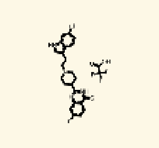 O=C(O)C(F)(F)F.O=c1[nH]c(C2CCN(CCc3c[nH]c4cc(Cl)ccc34)CC2)nc2cc(F)ccc12